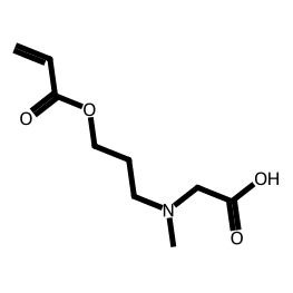 C=CC(=O)OCCCN(C)CC(=O)O